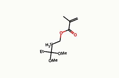 C=C(C)C(=O)OC[SiH2]C(CC)(OC)OC